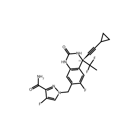 CC(F)(F)[C@@]1(C#CC2CC2)NC(=O)Nc2cc(Cn3cc(F)c(C(N)=O)n3)c(F)cc21